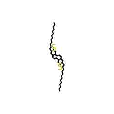 CCCCCCCCCCCc1cc2cc3ccc4c5cc6sc(CCCCCCCCCCC)cc6cc5ccc4c3cc2s1